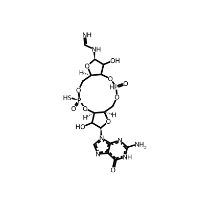 N=CN[C@@H]1O[C@@H]2CO[P@](=O)(S)O[C@@H]3C(O)[C@H](n4cnc5c(=O)[nH]c(N)nc54)O[C@@H]3CO[PH](=O)OC2C1O